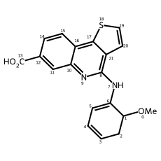 COC1CC=CC=C1Nc1nc2cc(C(=O)O)ccc2c2sccc12